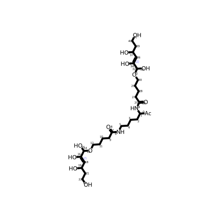 CC(=O)C(CCCCNC(=O)CCCCOC(O)/C(O)=C/C(O)CCO)NC(=O)CCCCOC(O)/C(O)=C/C(O)CCO